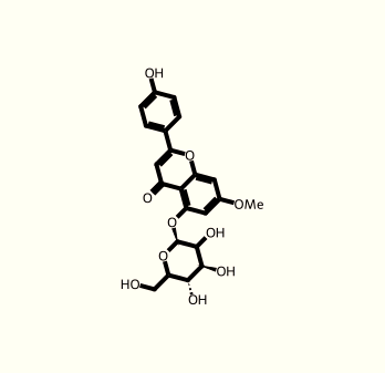 COc1cc(O[C@@H]2OC(CO)[C@@H](O)[C@H](O)C2O)c2c(=O)cc(-c3ccc(O)cc3)oc2c1